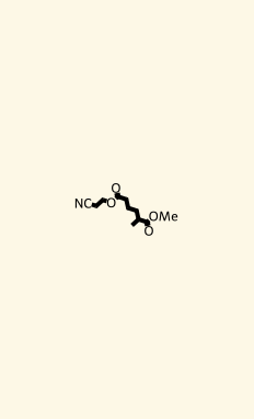 COC(=O)C(C)CCCC(=O)OCCC#N